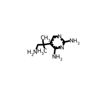 CC(C)(CN)c1cnc(N)nc1N